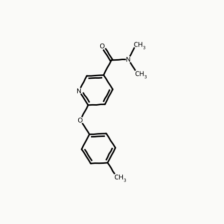 Cc1ccc(Oc2ccc(C(=O)N(C)C)cn2)cc1